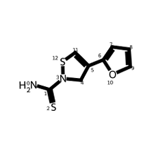 NC(=S)N1CC(c2ccco2)=CS1